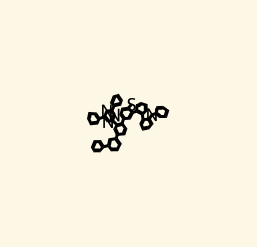 c1ccc(-c2cccc(-c3ccc(-c4ccc5sc6ccc7c(c8ccccc8n7-c7ccccc7)c6c5c4)c(-c4nc(-c5ccccc5)nc(-c5ccccc5)n4)c3)c2)cc1